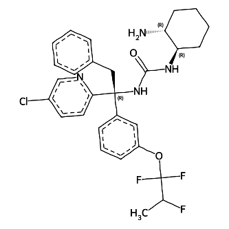 CC(F)C(F)(F)Oc1cccc([C@@](Cc2ccccc2)(NC(=O)N[C@@H]2CCCC[C@H]2N)c2ccc(Cl)cn2)c1